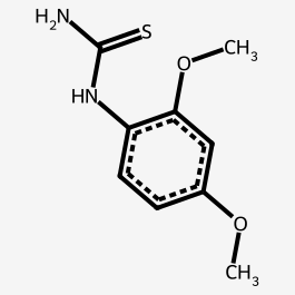 COc1ccc(NC(N)=S)c(OC)c1